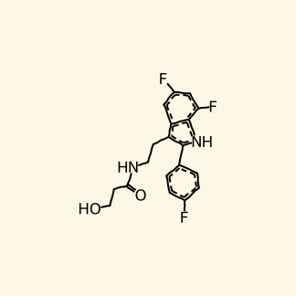 O=C(CCO)NCCc1c(-c2ccc(F)cc2)[nH]c2c(F)cc(F)cc12